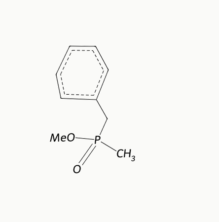 COP(C)(=O)Cc1ccccc1